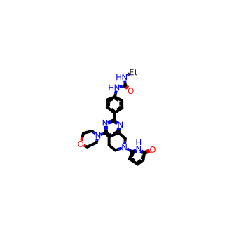 CCNC(=O)Nc1ccc(-c2nc3c(c(N4CCOCC4)n2)CCN(c2cccc(=O)[nH]2)C3)cc1